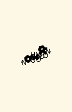 CN1Cc2cccc([S+]([O-])NC(=O)c3cc4ccc(N(C)C)cc4o3)c2C1=O